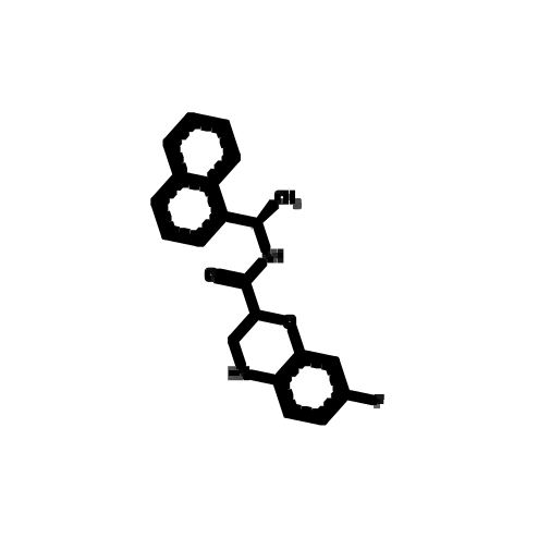 C[C@@H](NC(=O)C1CNc2ccc(F)cc2O1)c1cccc2ccccc12